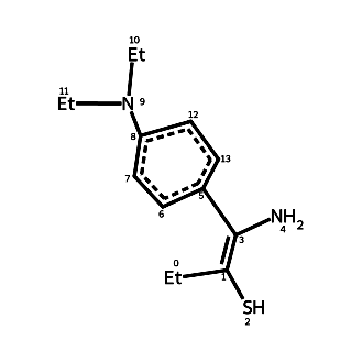 CC/C(S)=C(/N)c1ccc(N(CC)CC)cc1